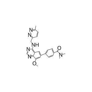 COc1cc(-c2ccc(C(=O)N(C)C)cc2)cc2c(NCc3ccc(C)nn3)ncnc12